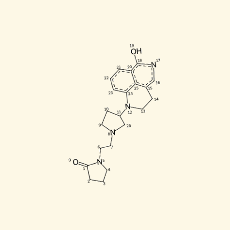 O=C1CCCN1CCN1CCC(N2CCc3cnc(O)c4cccc2c34)C1